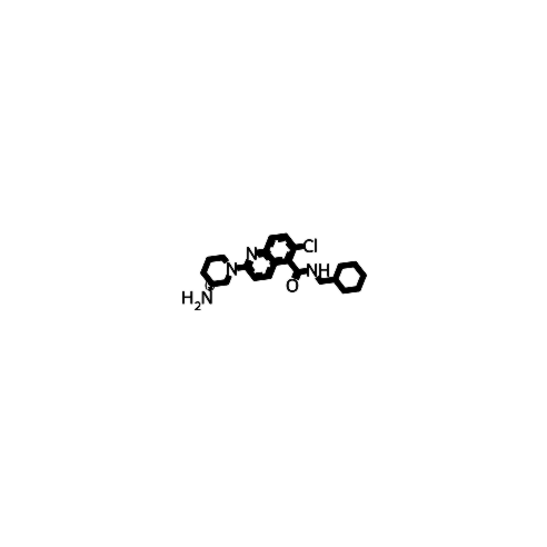 N[C@H]1CCCN(c2ccc3c(C(=O)NCC4CCCCC4)c(Cl)ccc3n2)C1